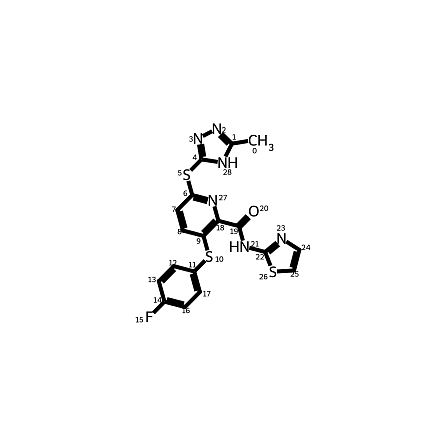 Cc1nnc(Sc2ccc(Sc3ccc(F)cc3)c(C(=O)Nc3nccs3)n2)[nH]1